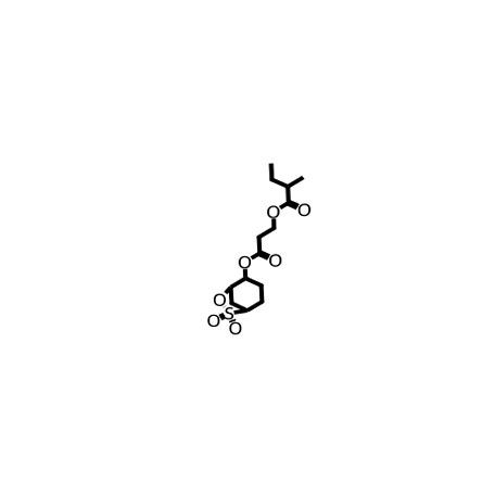 CCC(C)C(=O)OCCC(=O)OC1CCC2CC1OS2(=O)=O